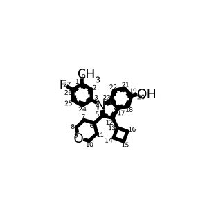 Cc1cc(-n2c(C3CCOCC3)c(C3CCC3)c3cc(O)ccc32)ccc1F